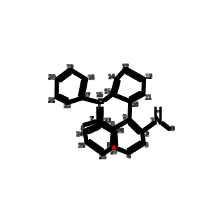 CNc1cccc(NC)c1-c1ccccc1P(c1ccccc1)c1ccccc1